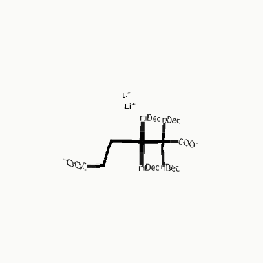 CCCCCCCCCCC(CCCCCCCCCC)(CCC(=O)[O-])C(CCCCCCCCCC)(CCCCCCCCCC)C(=O)[O-].[Li+].[Li+]